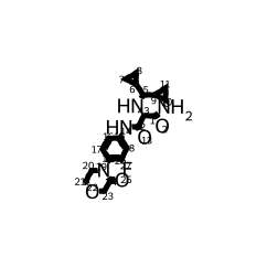 NC(=O)[C@@H](NC(C1CC1)C1CC1)C(=O)Nc1ccc(N2CCOCC2=O)c(F)c1